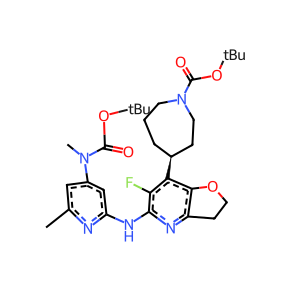 Cc1cc(N(C)C(=O)OC(C)(C)C)cc(Nc2nc3c(c([C@H]4CCCN(C(=O)OC(C)(C)C)CC4)c2F)OCC3)n1